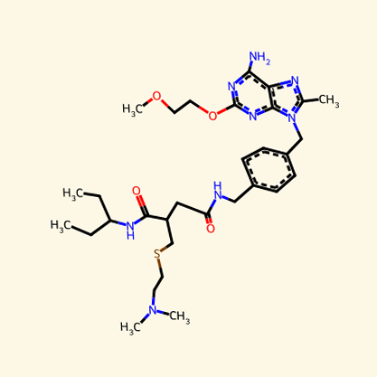 CCC(CC)NC(=O)C(CSCCN(C)C)CC(=O)NCc1ccc(Cn2c(C)nc3c(N)nc(OCCOC)nc32)cc1